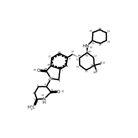 C=C1CCC(N2Cc3cc(C[C@H]4CCC(F)(F)C[C@@H]4NC4CCCCC4)ccc3C2=O)C(=O)N1